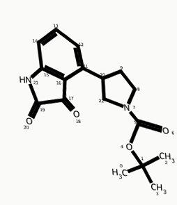 CC(C)(C)OC(=O)N1CCC(c2cccc3c2C(=O)C(=O)N3)C1